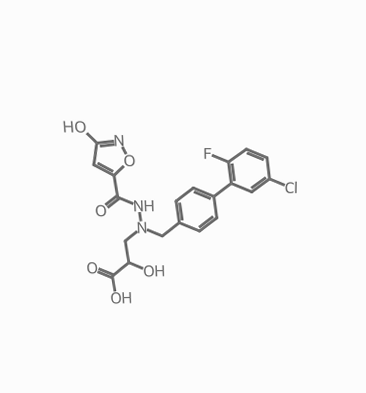 O=C(NN(Cc1ccc(-c2cc(Cl)ccc2F)cc1)CC(O)C(=O)O)c1cc(O)no1